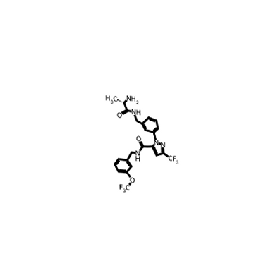 C[C@H](N)C(=O)NCc1cccc(-n2nc(C(F)(F)F)cc2C(=O)NCc2cccc(OC(F)(F)F)c2)c1